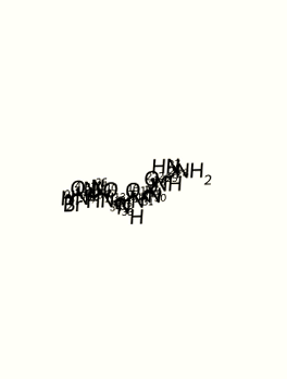 C=C(Br)C(=O)Nc1cc(C(=O)Nc2cc(C(=O)Nc3cc(C(=O)NCCC(=N)N)n(C)c3)n(C)c2)n(C)n1